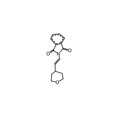 O=C1c2ccccc2C(=O)N1/C=C/C1CCOCC1